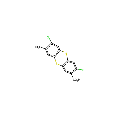 O=C(O)c1cc2c(cc1Cl)Sc1cc(Cl)c(C(=O)O)cc1S2